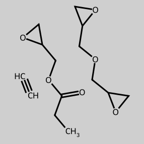 C#C.C(OCC1CO1)C1CO1.CCC(=O)OCC1CO1